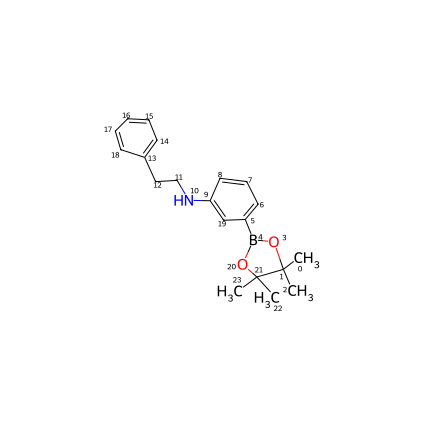 CC1(C)OB(c2cccc(NCCc3ccccc3)c2)OC1(C)C